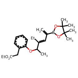 C=C(/C=C(\CC)C(C)Oc1ccccc1CC(=O)OCC)B1OC(C)(C)C(C)(C)O1